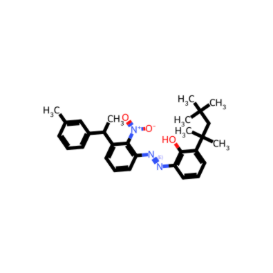 Cc1cccc(C(C)c2cccc(/N=N/c3cccc(C(C)(C)CC(C)(C)C)c3O)c2[N+](=O)[O-])c1